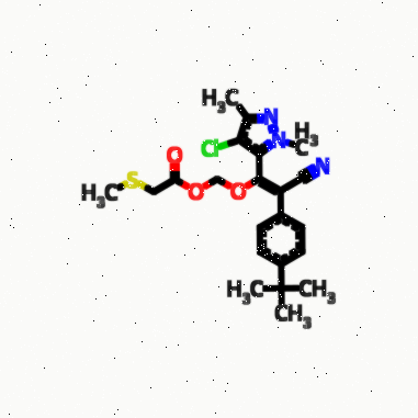 CSCC(=O)OCO/C(=C(/C#N)c1ccc(C(C)(C)C)cc1)c1c(Cl)c(C)nn1C